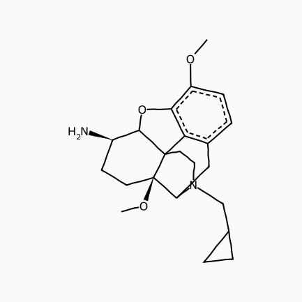 COc1ccc2c3c1OC1[C@H](N)CC[C@@]4(OC)C(C2)N(CC2CC2)CCC314